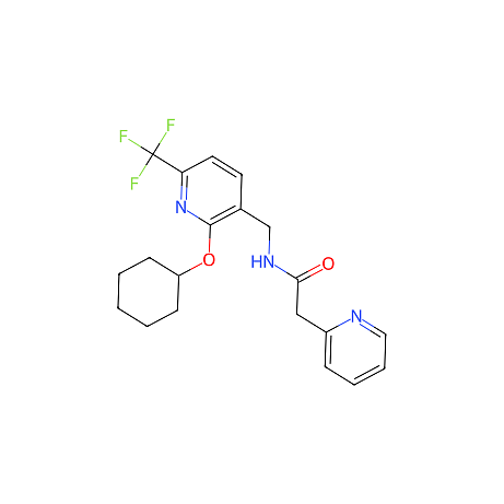 O=C(Cc1ccccn1)NCc1ccc(C(F)(F)F)nc1OC1CCCCC1